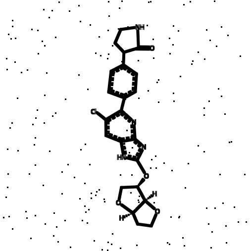 O=C1NCCC1c1ccc(-c2nc3nc(O[C@@H]4CO[C@@H]5CCO[C@@H]54)[nH]c3cc2Cl)cc1